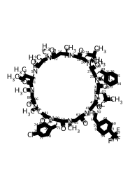 CC[C@H](C)[C@@H]1NC(=O)[C@H](C)N(C)C(=O)C[C@@H](C)NC(=O)[C@H](CC(C)C)N(C)C(=O)[C@H](Cc2ccccc2)N(C)C(=O)[C@H](CC(C)C)NC(=O)[C@H](CCc2ccc(C(F)(F)F)cc2)NC(=O)CN(C)C(=O)[C@H](Cc2ccc(Cl)cc2)N(C)C(=O)CN(C)C(=O)CN(C)C1=O